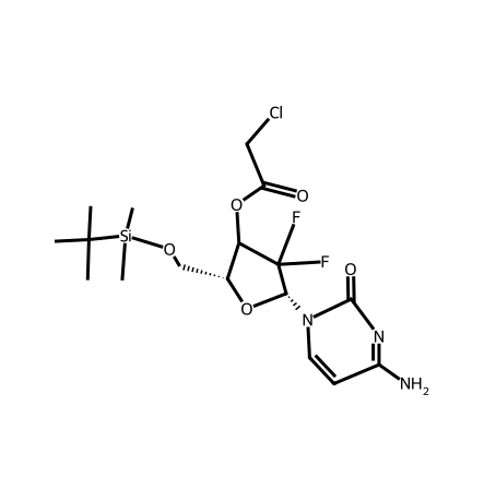 CC(C)(C)[Si](C)(C)OC[C@H]1O[C@@H](n2ccc(N)nc2=O)C(F)(F)C1OC(=O)CCl